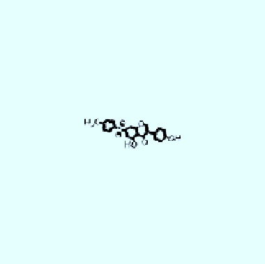 Cc1ccc(S(=O)(=O)c2cc(O)c3c(=O)c(-c4ccc(O)cc4)coc3c2)cc1